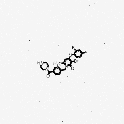 Cc1cc(Oc2ccc(F)cc2F)c(Br)c(=O)n1Cc1ccc(C(=O)N2CCNCC2)cc1